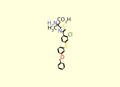 C[C@](N)(CC(=O)O)c1nc(-c2ccc(Sc3cccc(OCc4ccccc4)c3)cc2Cl)cs1